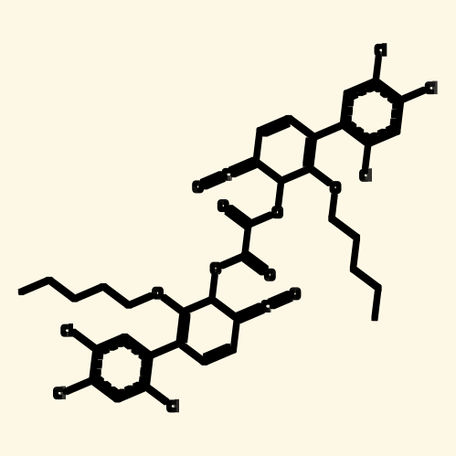 CCCCCOC1=C(c2cc(Cl)c(Cl)cc2Cl)C=CC(=C=O)C1OC(=O)C(=O)OC1C(=C=O)C=CC(c2cc(Cl)c(Cl)cc2Cl)=C1OCCCCC